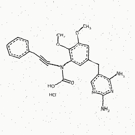 COc1cc(Cc2cnc(N)nc2N)cc(N(C#Cc2ccccc2)C(=O)O)c1OC.Cl